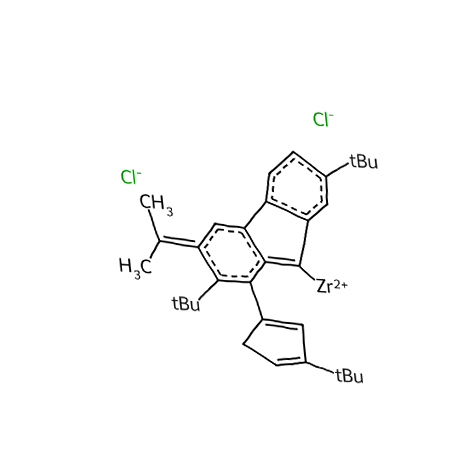 CC(C)=c1cc2c(c(C3=CC(C(C)(C)C)=CC3)c1C(C)(C)C)=[C]([Zr+2])c1cc(C(C)(C)C)ccc1-2.[Cl-].[Cl-]